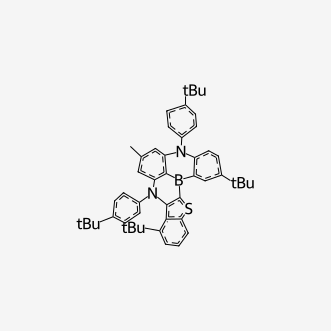 Cc1cc2c3c(c1)N(c1ccc(C(C)(C)C)cc1)c1c(sc4cccc(C(C)(C)C)c14)B3c1cc(C(C)(C)C)ccc1N2c1ccc(C(C)(C)C)cc1